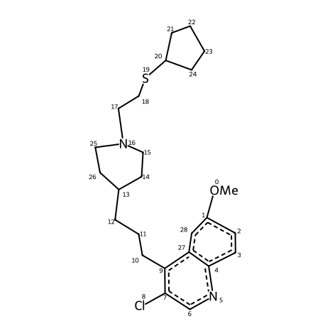 COc1ccc2ncc(Cl)c(CCCC3CCN(CCSC4CCCC4)CC3)c2c1